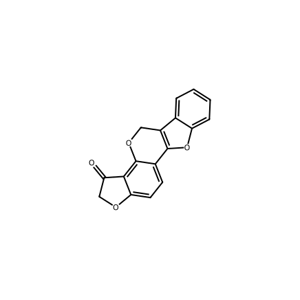 O=C1COc2ccc3c(c21)OCc1c-3oc2ccccc12